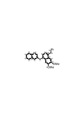 COc1cc2c(Cc3cnc4ccccc4c3)cnc(CC(C)C)c2cc1OC